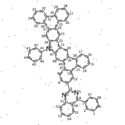 c1ccc(-c2nc(-c3ccc4c(c3)c3ccccc3c3cc5c6cc7c8ccccc8c8ccccc8c7cc6n(-c6ccccc6)c5cc43)nc3ccccc23)cc1